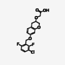 O=C(O)COC1COc2cc(OCc3c(F)ccc(Cl)c3F)ccc2C1